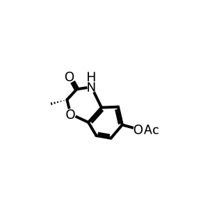 CC(=O)Oc1ccc2c(c1)NC(=O)[C@@H](C)O2